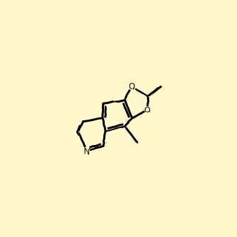 Cc1c2c(cc3c1OC(C)O3)CCN=C2